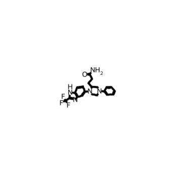 NC(=O)CCC1CN(c2ccccc2)CCN1c1ccc2[nH]c(C(F)(F)F)nc2c1